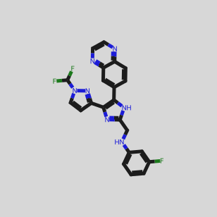 Fc1cccc(NCc2nc(-c3ccn(C(F)F)n3)c(-c3ccc4nccnc4c3)[nH]2)c1